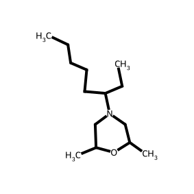 CCCCCC(CC)N1CC(C)OC(C)C1